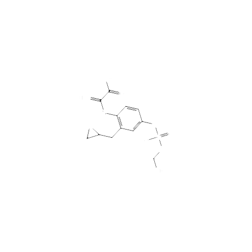 C=C(Nc1ccc(OP(=O)(O)OCC)cc1CC1CO1)C(=O)O